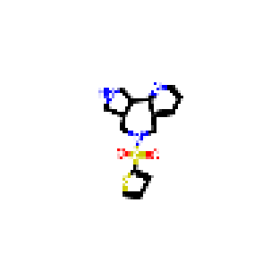 O=S(=O)(c1cccs1)N1Cc2cccnc2C2CNCC2C1